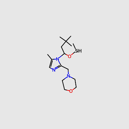 Cc1cnc(CN2CCOCC2)n1C(CC(C)(C)C)O[SiH](C)C